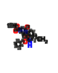 C=CC[C@H](NC(=O)OCc1ccccc1)c1cccc(N2C(=O)CN(C(=O)OC(C)(C)C)CC2C(=O)O)c1